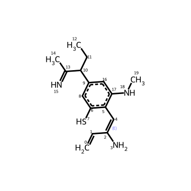 C=C/C(N)=C\c1c(S)cc(C(CC)C(C)=N)cc1NC